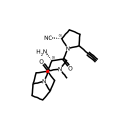 C#CC1CC[C@@H](C#N)N1C(=O)[C@@H](N)C1CC2CCC(C1)N2C(=O)N(C)C